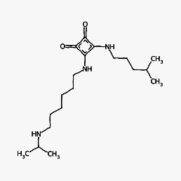 CC(C)CCCNc1c(NCCCCCCNC(C)C)c(=O)c1=O